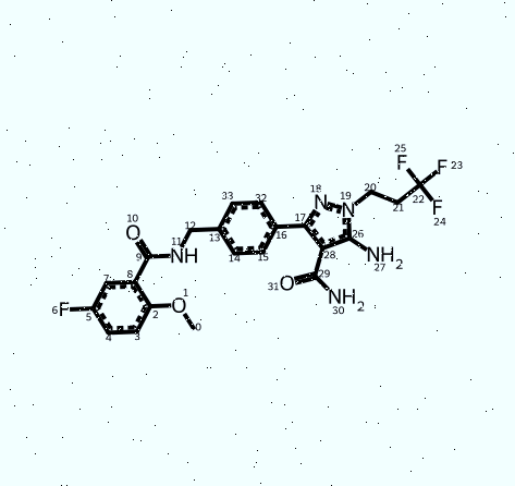 COc1ccc(F)cc1C(=O)NCc1ccc(-c2nn(CCC(F)(F)F)c(N)c2C(N)=O)cc1